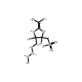 O=S(=O)(F)CC1(F)OC(=C(F)F)OC1(F)CSOOF